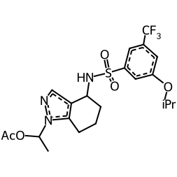 CC(=O)OC(C)n1ncc2c1CCCC2NS(=O)(=O)c1cc(OC(C)C)cc(C(F)(F)F)c1